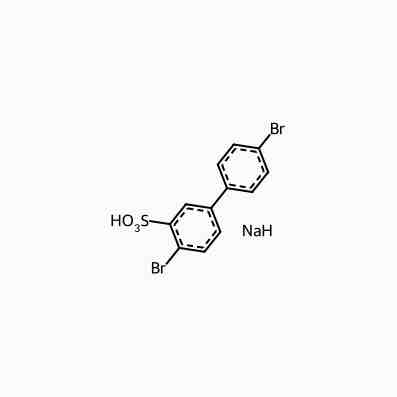 O=S(=O)(O)c1cc(-c2ccc(Br)cc2)ccc1Br.[NaH]